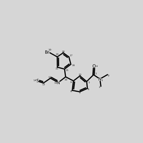 CN(C)C(=O)c1cccc(C(N=CC=S)c2cccc(Br)c2)c1